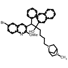 COc1nc2ccc(Br)cc2cc1C(c1ccccc1)C(O)(CCCCN1CC2CC1CN2C)c1ccc2ccccc2c1